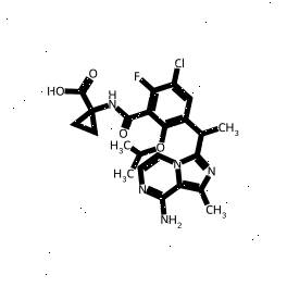 Cc1nc(C(C)c2cc(Cl)c(F)c(C(=O)NC3(C(=O)O)CC3)c2OC(C)C)n2ccnc(N)c12